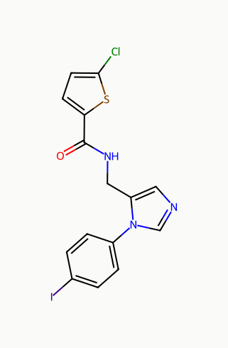 O=C(NCc1cncn1-c1ccc(I)cc1)c1ccc(Cl)s1